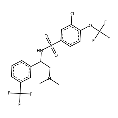 CN(C)CC(NS(=O)(=O)c1ccc(OC(F)(F)F)c(Cl)c1)c1cccc(C(F)(F)F)c1